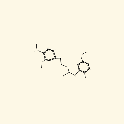 COc1ccc(I)c(CC(C)NCCc2ccc(OC)c(OC)c2)c1